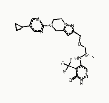 C[C@@H](COCc1cc2n(n1)CCN(c1ncc(C3CC3)cn1)C2)Nc1cn[nH]c(=O)c1C(F)(F)F